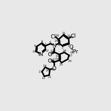 CC(C)Oc1cc(N(Cc2cccnc2)C(=O)C2=C(C(=O)OC3CCCC3)CCCC2)c(Cl)cc1Cl